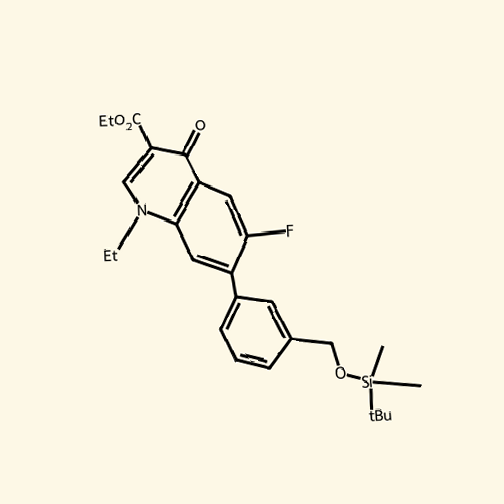 CCOC(=O)c1cn(CC)c2cc(-c3cccc(CO[Si](C)(C)C(C)(C)C)c3)c(F)cc2c1=O